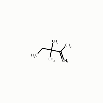 C=C(C)C(C)(C)CC